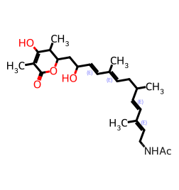 CC(=O)NC/C=C(C)/C=C/C(C)C/C=C(C)/C=C/C(O)CC1OC(=O)C(C)=C(O)C1C